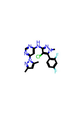 Cc1cc(C)n(-c2cc(Nc3nn(C)c(-c4ccc(F)cc4F)c3Cl)ncn2)n1